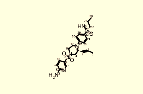 CC#C[C@H]1CN(S(=O)(=O)c2ccc(N)nc2)CCN1c1ccc([S@](=N)(=O)CCC)cc1